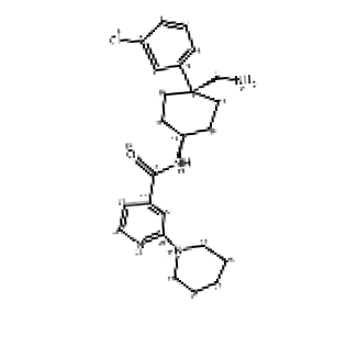 NC[C@]1(c2cccc(Cl)c2)CC[C@H](NC(=O)c2ccnc(N3CCCCC3)c2)CC1